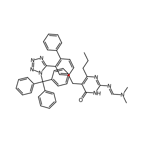 CCCc1nc(N=CN(C)C)[nH]c(=O)c1Cc1ccc(-c2ccccc2)c(-c2nnnn2C(c2ccccc2)(c2ccccc2)c2ccccc2)c1